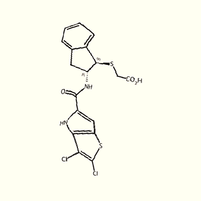 O=C(O)CS[C@@H]1c2ccccc2C[C@H]1NC(=O)c1cc2sc(Cl)c(Cl)c2[nH]1